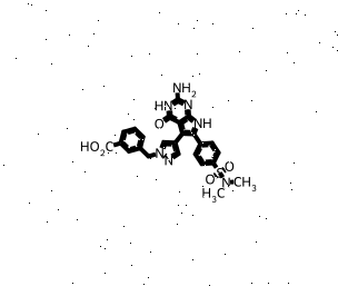 CN(C)S(=O)(=O)c1ccc(-c2[nH]c3nc(N)[nH]c(=O)c3c2-c2cnn(Cc3cccc(C(=O)O)c3)c2)cc1